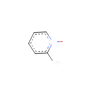 [CH2]Sc1cccc[n+]1[O-]